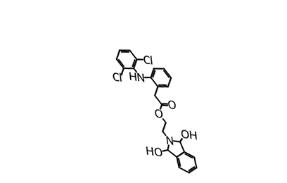 O=C(Cc1ccccc1Nc1c(Cl)cccc1Cl)OCCN1C(O)c2ccccc2C1O